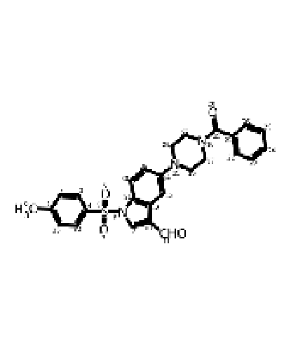 Cc1ccc(S(=O)(=O)n2cc(C=O)c3cc(N4CCN(C(=O)c5ccccc5)CC4)ccc32)cc1